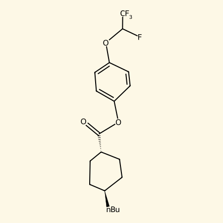 CCCC[C@H]1CC[C@H](C(=O)Oc2ccc(OC(F)C(F)(F)F)cc2)CC1